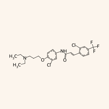 CCN(CC)CCCOc1ccc(NC(=O)/C=C/c2ccc(C(F)(F)F)cc2Cl)cc1Cl